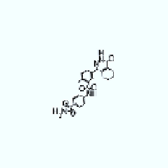 Cc1ccc(-c2n[nH]c(=O)c3c2CCCC3)cc1S(=O)(=O)Nc1ccc(S(N)(=O)=O)cc1